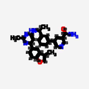 Cc1nc(N[C@@H](C)c2cccc(-c3cncc(C(N)=O)c3)c2)cc(-c2ccc3occ(C)c3c2)n1